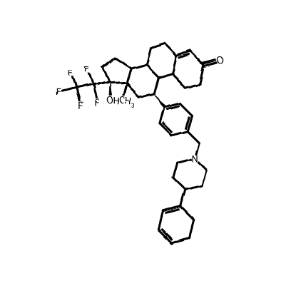 CC12C[C@H](c3ccc(CN4CCC(C5=CC=CCC5)CC4)cc3)C3C4CCC(=O)C=C4CCC3C1CC[C@@]2(O)C(F)(F)C(F)(F)F